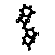 Cc1ccc2c(/C=C3\Oc4ccccc4C3=O)c[nH]c2c1